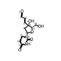 O=CC=C[C@@]1(O)C[C@H](n2ccc(=O)[nH]c2=O)O[C@@H]1CO